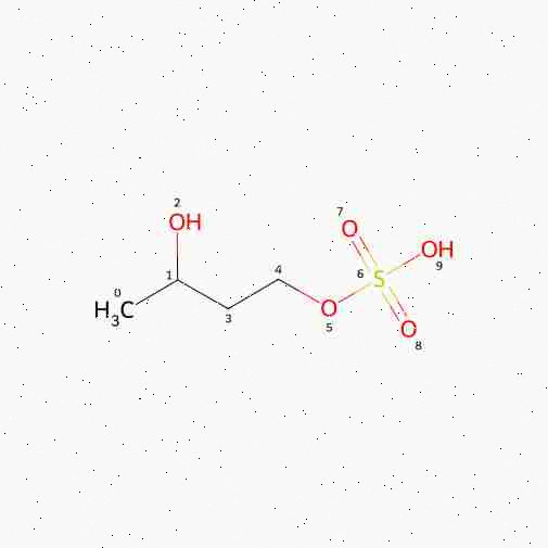 CC(O)CCOS(=O)(=O)O